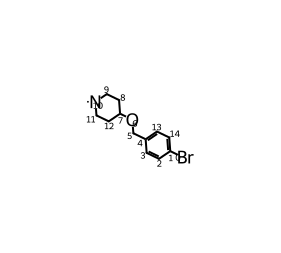 Brc1ccc(COC2CC[N]CC2)cc1